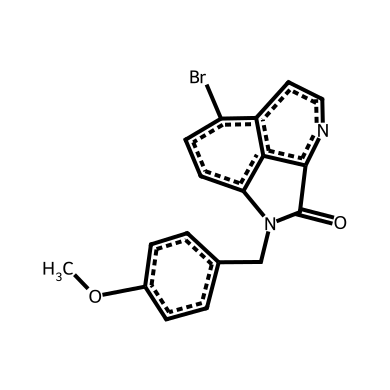 COc1ccc(CN2C(=O)c3nccc4c(Br)ccc2c34)cc1